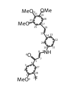 COc1ccc(C(=O)C=CNc2cccc(C=Cc3cc(OC)c(OC)c(OC)c3)c2)cc1F